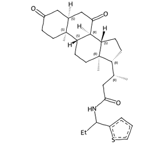 CCC(NC(=O)C[C@@H](C)[C@H]1CC[C@H]2[C@@H]3C(=O)C[C@@H]4CC(=O)CC[C@]4(C)[C@H]3CC[C@]12C)c1cccs1